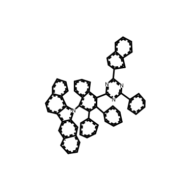 c1ccc(-c2nc(-c3ccc4ccccc4c3)nc(-c3c(-c4ccccc4)c(-c4ccccc4)c(-n4c5cc6ccccc6cc5c5ccc6ccccc6c54)c4ccccc34)n2)cc1